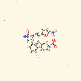 O=C1NCCN1/N=C/c1ccc([N+](=O)[O-])o1.O=[N+]([O-])c1ccc2c(c1)Cc1ccccc1-2